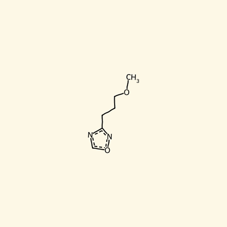 COCCCc1ncon1